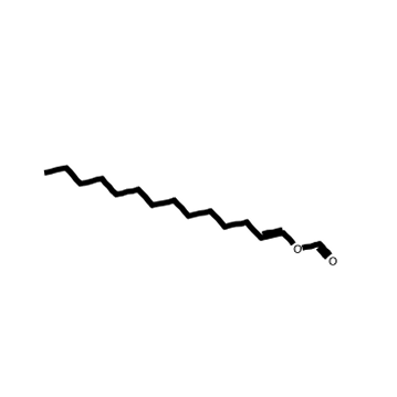 CCCCCCCCCCCCC=COC=O